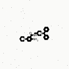 Nc1ccc(N2CCCCC2)cc1C(=O)NCC1CCN(C(c2ccccc2)c2ccccc2)CC1